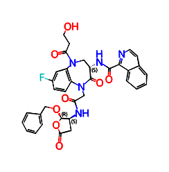 O=C(CN1C(=O)[C@@H](NC(=O)c2nccc3ccccc23)CN(C(=O)CCO)c2cc(F)ccc21)N[C@H]1CC(=O)O[C@H]1OCc1ccccc1